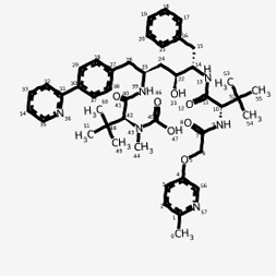 Cc1ccc(OCC(=O)N[C@H](C(=O)N[C@@H](Cc2ccccc2)[C@@H](O)C[C@H](Cc2ccc(-c3ccccn3)cc2)NC(=O)[C@@H](N(C)C(=O)O)C(C)(C)C)C(C)(C)C)cn1